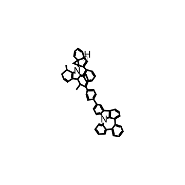 CC1CC=CC2=C1N(C13CC14C=CC=C[C@H]4C=C3c1ccccc1)C1=CC=C(c3ccc(-c4ccc5c(c4)c4cccc6c4n5-c4ccccc4-c4ccccc4-6)cc3)C(C)C12